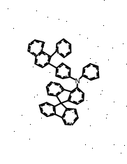 c1ccc(-c2c(-c3ccc(N(c4ccccc4)c4cccc5c4-c4ccccc4C54c5ccccc5-c5ccccc54)cc3)ccc3ccccc23)cc1